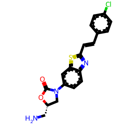 NC[C@H]1CN(c2ccc3nc(C=Cc4ccc(Cl)cc4)sc3c2)C(=O)O1